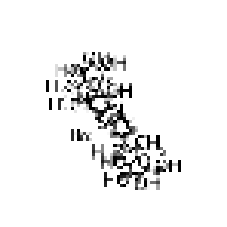 CC([C@@H]1O[C@H](CO)[C@@H](O)[C@H](O)[C@H]1O)N(C)c1ccc2nc3ccc(N(C)C(C)[C@@H]4O[C@H](CO)[C@@H](O)[C@H](O)[C@H]4O)cc3[s+]c2c1.[Br-]